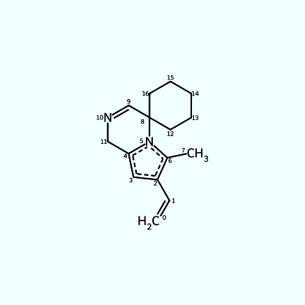 C=Cc1cc2n(c1C)C1(C=NC2)CCCCC1